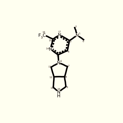 CN(C)c1cc(N2CC3CNCC3C2)nc(C(F)(F)F)n1